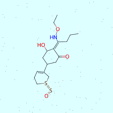 CCCC(NOCC)=C1C(=O)CC(C2=CCCS(=S=O)C2)CC1O